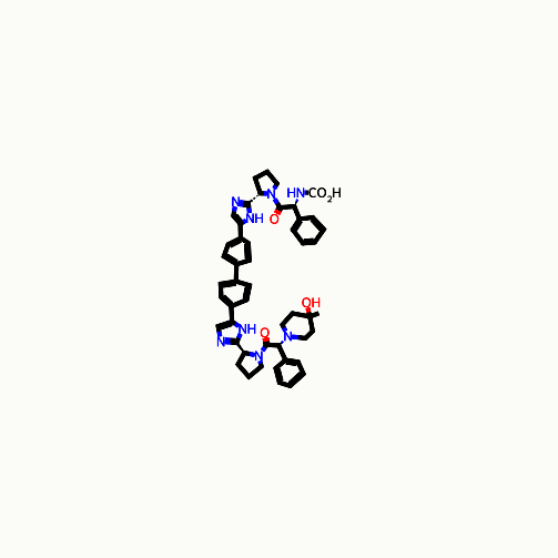 CC1(O)CCN([C@@H](C(=O)N2CCC[C@H]2c2ncc(-c3ccc(-c4ccc(-c5cnc([C@@H]6CCCN6C(=O)[C@H](NC(=O)O)c6ccccc6)[nH]5)cc4)cc3)[nH]2)c2ccccc2)CC1